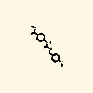 COC(=O)C1CCC(NC(=O)NCc2ccc(OC)cc2)CC1